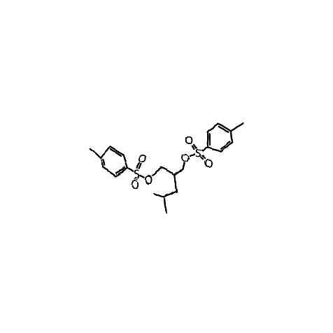 Cc1ccc(S(=O)(=O)OCC(COS(=O)(=O)c2ccc(C)cc2)CC(C)C)cc1